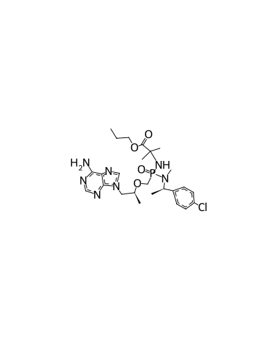 CCCOC(=O)C(C)(C)NP(=O)(CO[C@@H](C)Cn1cnc2c(N)ncnc21)N(C)[C@H](C)c1ccc(Cl)cc1